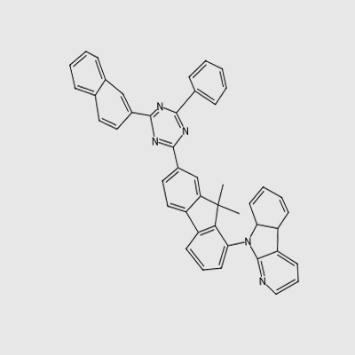 CC1(C)c2cc(-c3nc(-c4ccccc4)nc(-c4ccc5ccccc5c4)n3)ccc2-c2cccc(N3c4ncccc4C4C=CC=CC43)c21